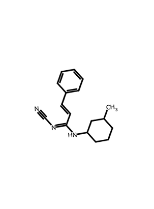 CC1CCCC(NC(/C=C/c2ccccc2)=N/C#N)C1